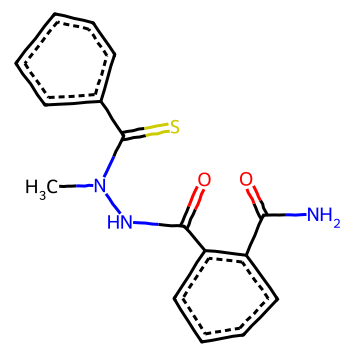 CN(NC(=O)c1ccccc1C(N)=O)C(=S)c1ccccc1